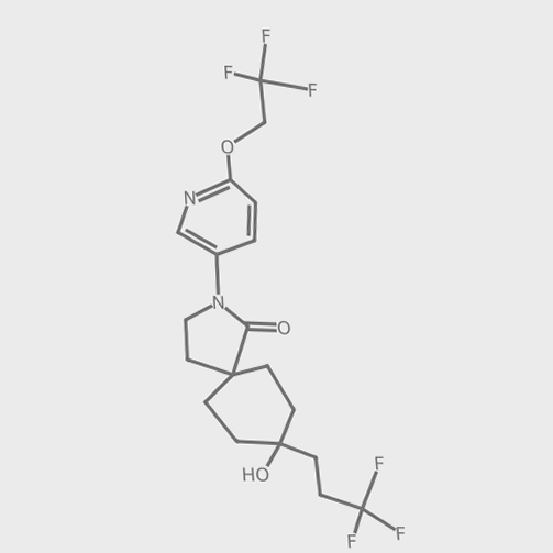 O=C1N(c2ccc(OCC(F)(F)F)nc2)CCC12CCC(O)(CCC(F)(F)F)CC2